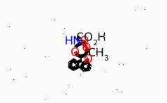 C[C@@H]1OC(=O)[C@@H](NC(=O)O)COC[C@H](Cc2ccccc2)[C@H]1Oc1ccccc1